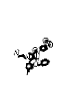 Cc1c(C(=O)Nc2ccc(S(C)(=O)=O)cc2)cn(CCCN(C)C)c1-c1ccc(F)cc1OCc1ccccc1